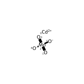 [Cd+2].[O]=[Mn](=[O])([O-])[O-]